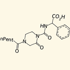 CCCCCC(=O)N1CCN(C(=O)NC(C(=O)O)c2ccccc2)C(=O)C1